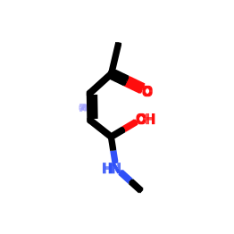 CNC(O)/C=C\C(C)=O